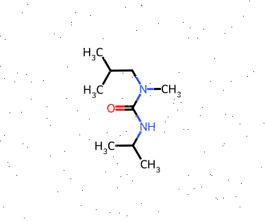 CC(C)CN(C)C(=O)NC(C)C